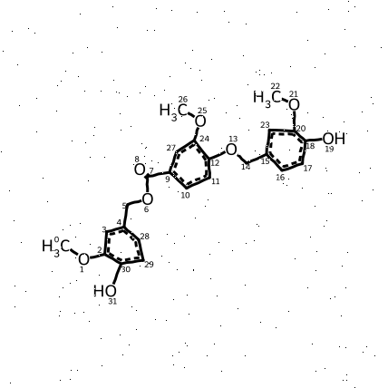 COc1cc(COC(=O)c2ccc(OCc3ccc(O)c(OC)c3)c(OC)c2)ccc1O